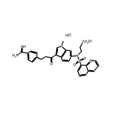 CCOC(=O)CCN(c1ccc2c(C(=O)CCc3ccc(C(=N)N)cc3)cn(C)c2c1)S(=O)(=O)c1cccc2cccnc12.Cl